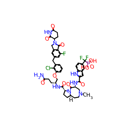 CN1CC[C@H]2CC[C@@H](C(=O)N[C@@H](CCC(N)=O)COc3cccc(Cc4cc(F)c5c(c4)CN(C4CCC(=O)NC4=O)C5=O)c3Cl)N2C(=O)[C@@H](NC(=O)c2cc3cc(C(F)(F)P(=O)(O)O)ccc3[nH]2)C1